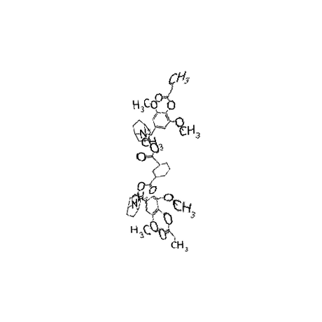 CCC(=O)Oc1c(OC)cc(C[N+]2(C)C3CCC2CC(OC(=O)C2CCCC(C(=O)OC4CC5CCC(C4)[N+]5(C)Cc4cc(OC)c(OC(=O)CC)c(OC)c4)C2)C3)cc1OC